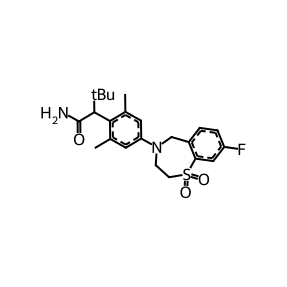 Cc1cc(N2CCS(=O)(=O)c3cc(F)ccc3C2)cc(C)c1C(C(N)=O)C(C)(C)C